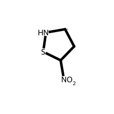 O=[N+]([O-])C1C[CH]NS1